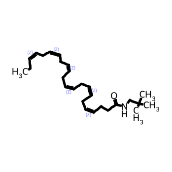 CC/C=C\C/C=C\C/C=C\C/C=C\C/C=C\C/C=C\CCC(=O)NCC(C)(C)C